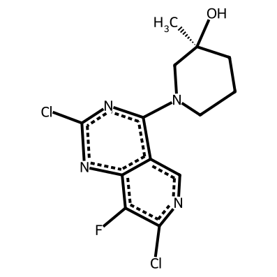 C[C@]1(O)CCCN(c2nc(Cl)nc3c(F)c(Cl)ncc23)C1